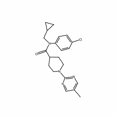 Cc1cnc(N2CCC(C(=O)N(CC3CC3)c3ccc(Cl)cc3)CC2)nc1